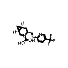 O=C(O)N1C[C@H]2C[C@H]2C[C@H]1CNc1ccc(C(F)(F)F)cn1